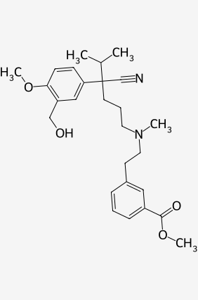 COC(=O)c1cccc(CCN(C)CCCC(C#N)(c2ccc(OC)c(CO)c2)C(C)C)c1